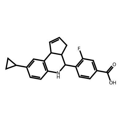 O=C(O)c1ccc(C2Nc3ccc(C4CC4)cc3C3C=CCC32)c(F)c1